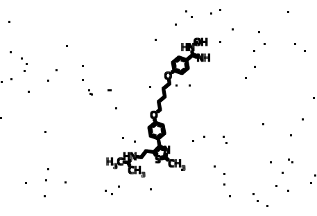 Cc1nc(-c2ccc(OCCCCCOc3ccc(C(=N)NO)cc3)cc2)c(CCNC(C)C)s1